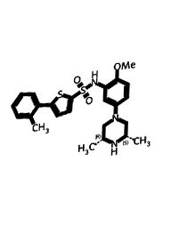 COc1ccc(N2C[C@@H](C)N[C@@H](C)C2)cc1NS(=O)(=O)c1ccc(-c2ccccc2C)s1